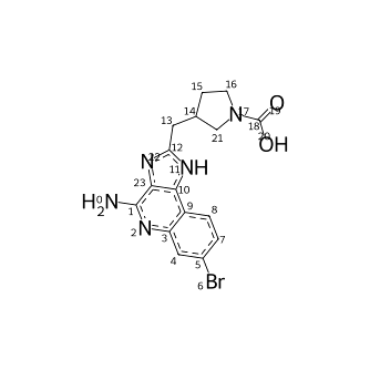 Nc1nc2cc(Br)ccc2c2[nH]c(CC3CCN(C(=O)O)C3)nc12